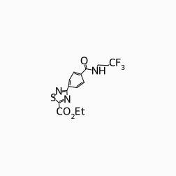 CCOC(=O)c1nc(-c2ccc(C(=O)NCCC(F)(F)F)cc2)ns1